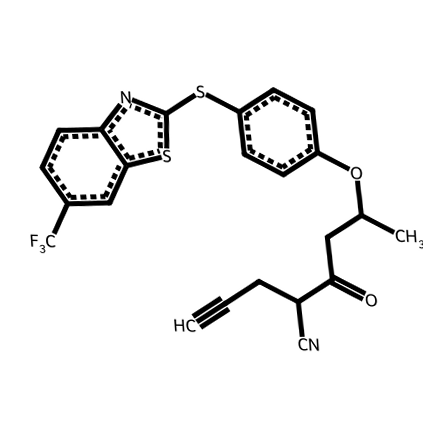 C#CCC(C#N)C(=O)CC(C)Oc1ccc(Sc2nc3ccc(C(F)(F)F)cc3s2)cc1